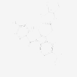 CCC(OC(=O)Cc1c(C)n(C(=O)c2ccc(Cl)cc2)c2ccc(OC)cc12)C(C)C